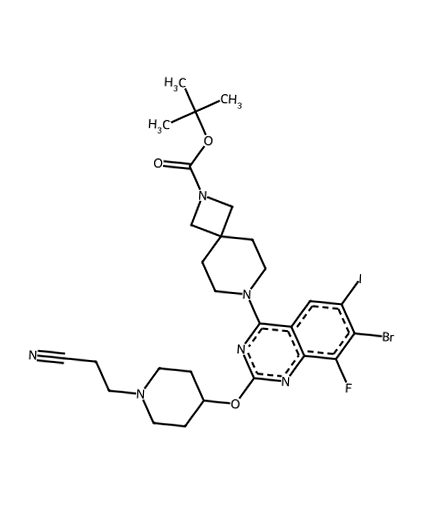 CC(C)(C)OC(=O)N1CC2(CCN(c3nc(OC4CCN(CCC#N)CC4)nc4c(F)c(Br)c(I)cc34)CC2)C1